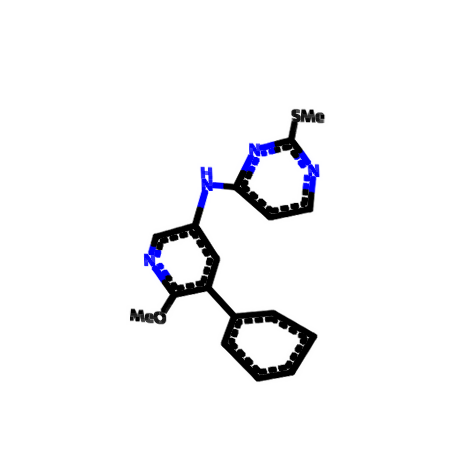 COc1ncc(Nc2ccnc(SC)n2)cc1-c1ccccc1